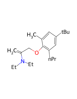 C=C(COc1c(C)cc(C(C)(C)C)cc1CCC)N(CC)CC